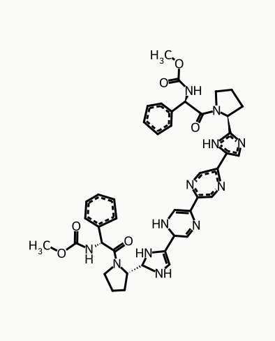 COC(=O)N[C@@H](C(=O)N1CCC[C@H]1c1ncc(-c2cnc(C3=CNC(C4=CNC([C@@H]5CCCN5C(=O)[C@H](NC(=O)OC)c5ccccc5)N4)C=N3)cn2)[nH]1)c1ccccc1